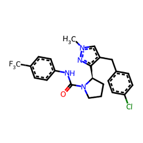 Cn1cc(Cc2ccc(Cl)cc2)c([C@H]2CCCN2C(=O)Nc2ccc(C(F)(F)F)cc2)n1